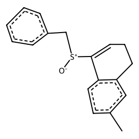 Cc1ccc2c(c1)CCC=C2[S+]([O-])Cc1ccccc1